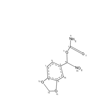 NC(=O)OC(c1ccc2c(c1)OCO2)[N+](=O)[O-]